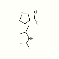 C1CCOC1.CC(C)NC(C)C.ClCCl